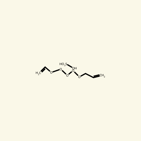 C=CCOOOOOC=C.O=S(=O)(O)O